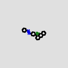 BrC1(c2cccc3cc4ccccc4cc23)C=CC(N=Nc2ccccc2)=CC1